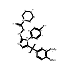 COc1ccc(C(C)(C)c2cnc(SCC(=O)N3CCOCC3)n2-c2ccc(F)cc2)cc1OC